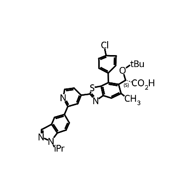 Cc1cc2nc(-c3ccnc(-c4ccc5c(cnn5C(C)C)c4)c3)sc2c(-c2ccc(Cl)cc2)c1[C@H](OC(C)(C)C)C(=O)O